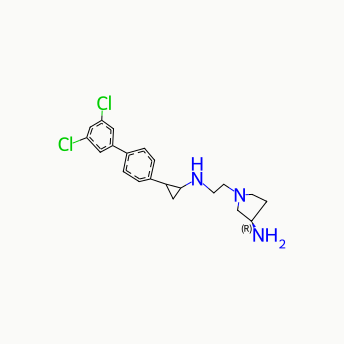 N[C@@H]1CCN(CCNC2CC2c2ccc(-c3cc(Cl)cc(Cl)c3)cc2)C1